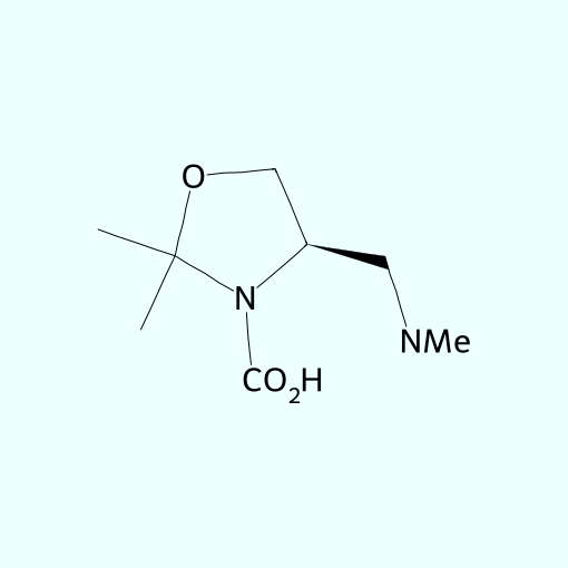 CNC[C@@H]1COC(C)(C)N1C(=O)O